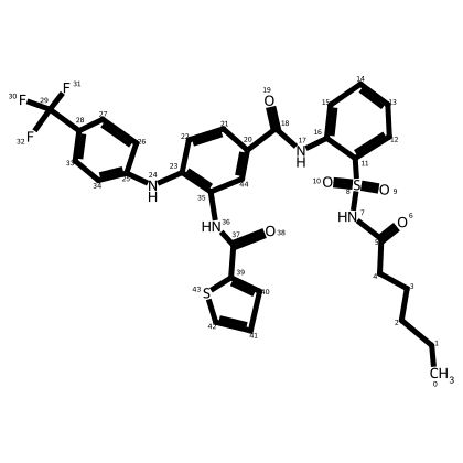 CCCCCC(=O)NS(=O)(=O)c1ccccc1NC(=O)c1ccc(Nc2ccc(C(F)(F)F)cc2)c(NC(=O)c2cccs2)c1